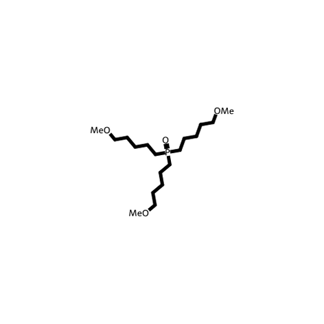 COCCCCCP(=O)(CCCCCOC)CCCCCOC